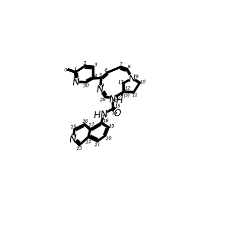 Cc1ccc(C2=CC=CN3CC[C@@H](C3)N(C(=O)Nc3cccc4cnccc34)C=N2)cn1